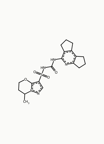 CC1CCOc2c(S(=O)(=O)NC(=O)Nc3nc4c(c5c3CCC5)CCC4)cnn21